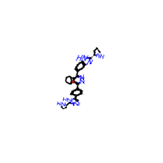 c1cc(-c2nnc(-c3ccc4[nH]c([C@@H]5CCCN5)nc4c3)c3c2C2CCC3C2)ccc1-c1cnc(C2CCCN2)[nH]1